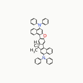 CC1(C)c2cc3c(cc2-c2c1cc(N(c1ccccc1)c1ccccc1)c1ccccc21)oc1cc(N(c2ccccc2)c2ccccc2)c2ccccc2c13